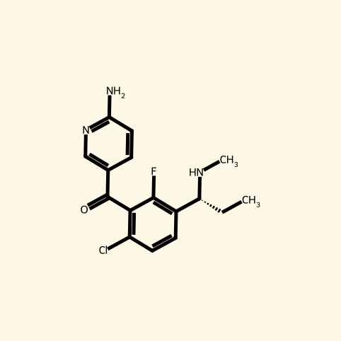 CC[C@@H](NC)c1ccc(Cl)c(C(=O)c2ccc(N)nc2)c1F